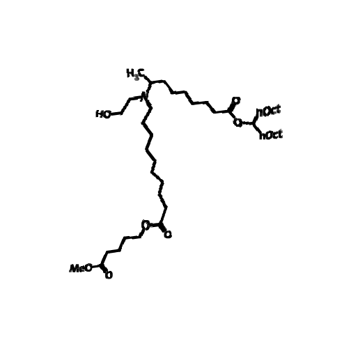 CCCCCCCCC(CCCCCCCC)OC(=O)CCCCCCC(C)N(CCO)CCCCCCCCCC(=O)OCCCCC(=O)OC